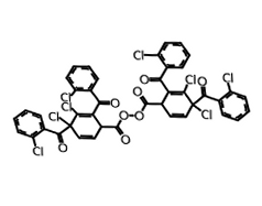 O=C(C1=C(Cl)C(Cl)(C(=O)c2ccccc2Cl)C=CC1C(=O)OOC(=O)C1C=CC(Cl)(C(=O)c2ccccc2Cl)C(Cl)=C1C(=O)c1ccccc1Cl)c1ccccc1Cl